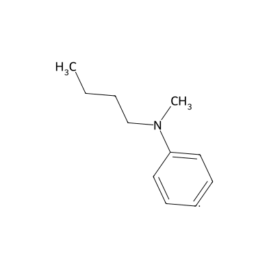 CCCCN(C)c1cc[c]cc1